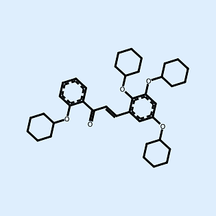 O=C(C=Cc1cc(OC2CCCCC2)cc(OC2CCCCC2)c1OC1CCCCC1)c1ccccc1OC1CCCCC1